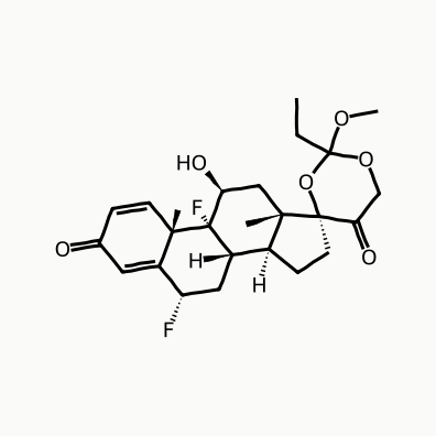 CCC1(OC)OCC(=O)[C@]2(CC[C@H]3[C@@H]4C[C@H](F)C5=CC(=O)C=C[C@]5(C)[C@@]4(F)[C@@H](O)C[C@@]32C)O1